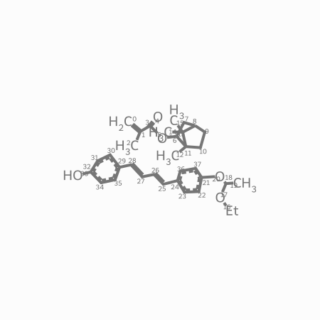 C=C(C)C(=O)OC1CC2CCC1(C)C2(C)C.CCOC(C)Oc1ccc(C=CC=Cc2ccc(O)cc2)cc1